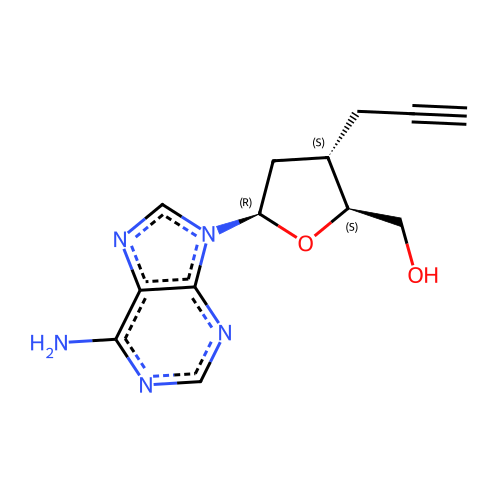 C#CC[C@H]1C[C@H](n2cnc3c(N)ncnc32)O[C@@H]1CO